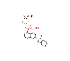 Cc1c(-c2cc(C(O)O)c3c(OC[C@H]4CC[C@@](C)(OC(C)C)CC4)ccc(C)c3n2)oc2ccccc12